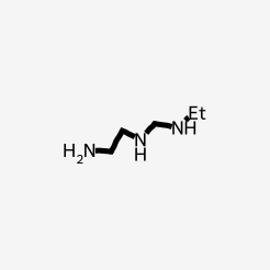 CCNCNCCN